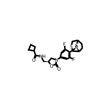 O=C(NC[C@H]1CN(c2cc(F)c(N3CC4CCC3CSC4)c(F)c2)C(=O)O1)C1CCC1